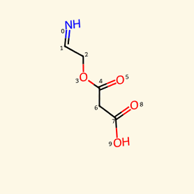 N=CCOC(=O)CC(=O)O